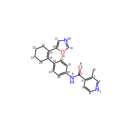 Cc1cnccc1C(=O)Nc1ccc(C2=C(c3cnco3)CCCC2)cc1